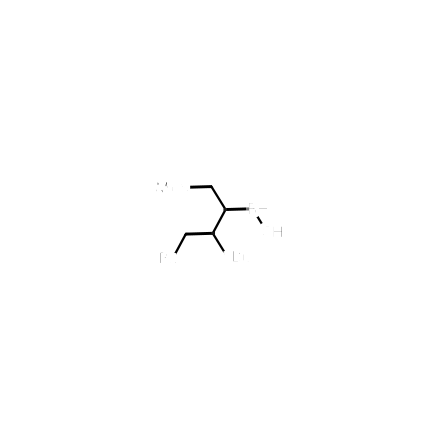 CBC(CSC)C(CCCC)CC(C)CC